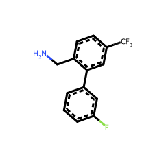 NCc1ccc(C(F)(F)F)cc1-c1cccc(F)c1